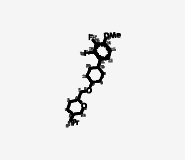 CCCC1CCC(COC2CCC(c3ccc(OC)c(F)c3F)CC2)OC1